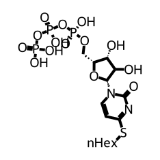 CCCCCCSc1ccn([C@@H]2O[C@H](COP(=O)(O)OP(=O)(O)OP(=O)(O)O)[C@H](O)C2O)c(=O)n1